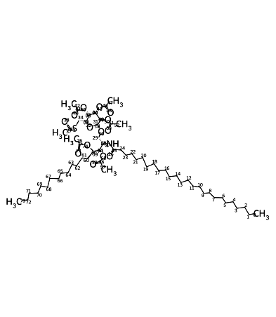 CCCCCCCCCCCCCCCCCCCCCCCCCC(=O)N[C@@H](CO[C@H]1O[C@H](CSC(C)=O)[C@H](OC(C)=O)[C@H](OC(C)=O)[C@H]1OC(C)=O)[C@H](OC(C)=O)[C@@H](CCCCCCCCCCCCCC)OC(C)=O